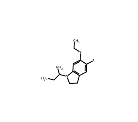 C[CH]C(N)N1CCc2cc(F)c(SCC)cc21